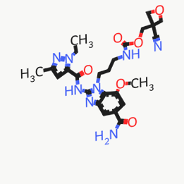 CCn1nc(C)cc1C(=O)Nc1nc2cc(C(N)=O)cc(OC)c2n1CCCNC(=O)OCC1(C#N)COC1